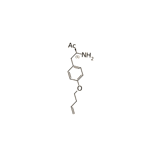 C=CCCOc1ccc(C[C@H](N)C(C)=O)cc1